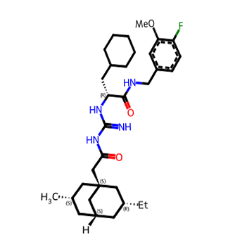 CC[C@@H]1C[C@@H]2C[C@H](C)C[C@](CC(=O)NC(=N)N[C@H](CC3CCCCC3)C(=O)NCc3ccc(F)c(OC)c3)(C1)C2